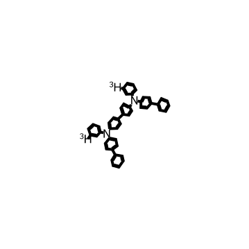 [3H]c1cccc(N(c2ccc(-c3ccccc3)cc2)c2ccc(-c3ccc(N(c4ccc(-c5ccccc5)cc4)c4cccc([3H])c4)cc3)cc2)c1